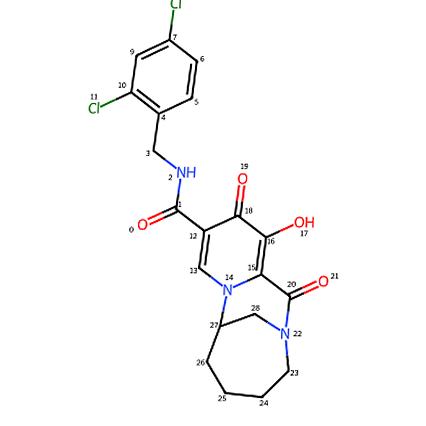 O=C(NCc1ccc(Cl)cc1Cl)c1cn2c(c(O)c1=O)C(=O)N1CCCCC2C1